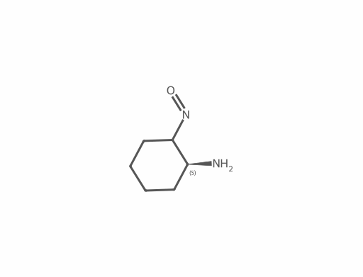 N[C@H]1CCCCC1N=O